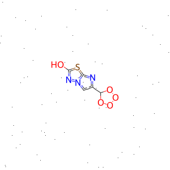 Oc1nn2cc(C3OOOO3)nc2s1